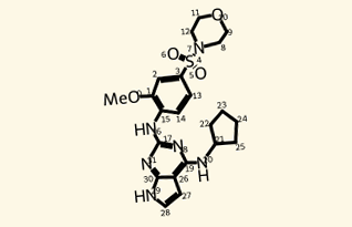 COc1cc(S(=O)(=O)N2CCOCC2)ccc1Nc1nc(NC2CCCC2)c2cc[nH]c2n1